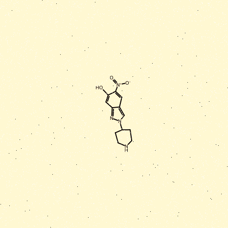 O=[N+]([O-])c1cc2cn(C3CCNCC3)nc2cc1O